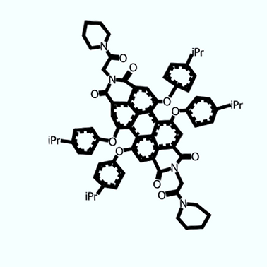 CC(C)c1ccc(Oc2cc3c4c(cc(Oc5ccc(C(C)C)cc5)c5c6c(Oc7ccc(C(C)C)cc7)cc7c8c(cc(Oc9ccc(C(C)C)cc9)c(c2c45)c86)C(=O)N(CC(=O)N2CCCCC2)C7=O)C(=O)N(CC(=O)N2CCCCC2)C3=O)cc1